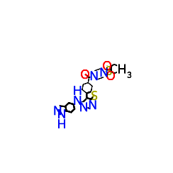 CS(=O)(=O)N1CCN(C(=O)C2CCc3c(sc4ncnc(Nc5ccc6[nH]ncc6c5)c34)C2)CC1